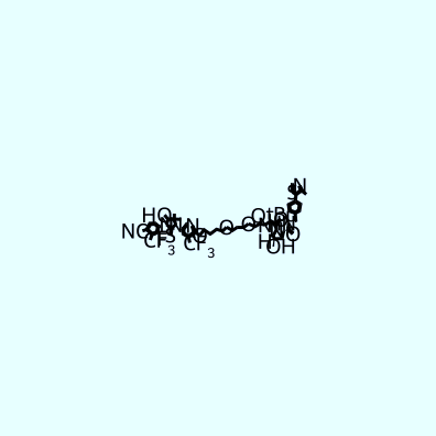 Cc1ncsc1-c1ccc(CNC(=O)[C@@H]2C[C@@H](O)CN2C(=O)[C@@H](NC(=O)COCCCOCCCCOc2ncc(N3C(=S)N(c4ccc(C#N)c(C(F)(F)F)c4F)C(O)C3(C)C)cc2C(F)(F)F)C(C)(C)C)cc1